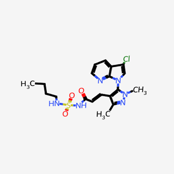 CCCCNS(=O)(=O)NC(=O)C=Cc1c(C)nn(C)c1-n1cc(Cl)c2cccnc21